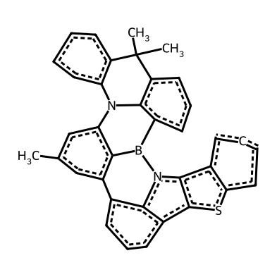 Cc1cc2c3c(c1)N1c4ccccc4C(C)(C)c4cccc(c41)B3n1c3c-2cccc3c2sc3ccccc3c21